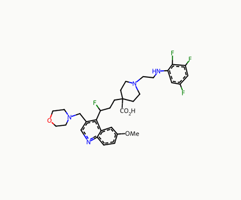 COc1ccc2ncc(CN3CCOCC3)c(C(F)CCC3(C(=O)O)CCN(CCNc4cc(F)cc(F)c4F)CC3)c2c1